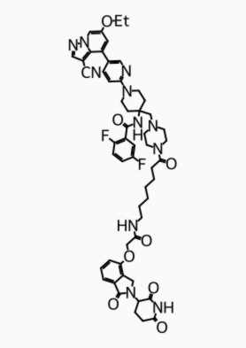 CCOc1cc(-c2ccc(N3CCC(CN4CCN(C(=O)CCCCCCNC(=O)COc5cccc6c5CN(C5CCC(=O)NC5=O)C6=O)CC4)(NC(=O)c4cc(F)ccc4F)CC3)nc2)c2c(C#N)cnn2c1